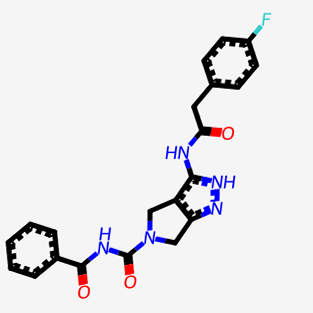 O=C(Cc1ccc(F)cc1)Nc1[nH]nc2c1CN(C(=O)NC(=O)c1ccccc1)C2